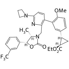 CCOC(=O)[C@@H]1C[C@H]1c1ccc(OC)c(-c2ccc(N3CCC3)nc2CN2C(=O)O[C@H](c3cccc(C(F)(F)F)c3)[C@@H]2C)c1